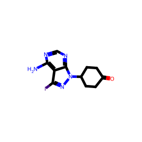 Nc1ncnc2c1c(I)nn2C1CCC(=O)CC1